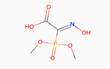 COP(=O)(OC)/C(=N\O)C(=O)O